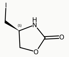 O=C1N[C@H](CI)CO1